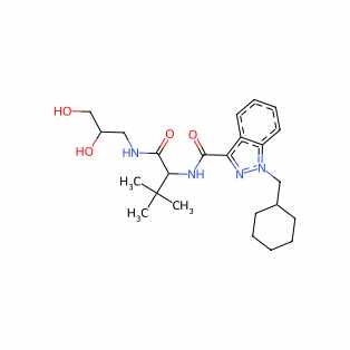 CC(C)(C)C(NC(=O)c1nn(CC2CCCCC2)c2ccccc12)C(=O)NCC(O)CO